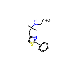 CC(C)(Cc1csc(-c2ccccc2)n1)NC[C]=O